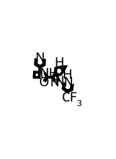 O=C(NC1(c2ccncc2)CCC1)c1nn(-c2cc(C(F)(F)F)ccn2)c2c1C[C@@H]1C[C@H]21